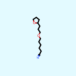 N#CCCCCCOCCCC1CCCO1